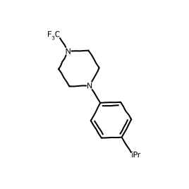 CC(C)c1ccc(N2CCN(C(F)(F)F)CC2)cc1